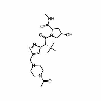 CNC(=O)C1CC(O)CN1C(=O)[C@@H](n1cc(CN2CCN(C(C)=O)CC2)nn1)C(C)(C)C